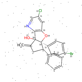 C=C1CC(c2ccccc2)[C@]2(c3ccc(Br)cc3)Oc3cc(Cl)cnc3C12O